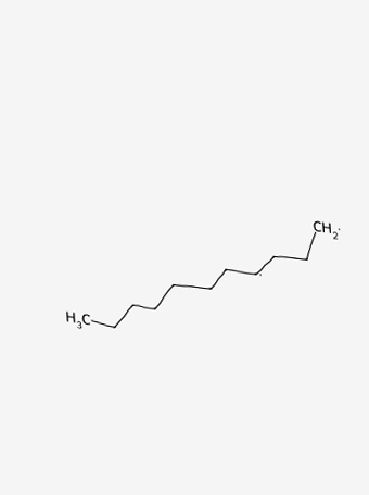 [CH2]CC[CH]CCCCCCC